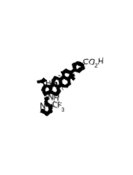 C=C(C)[C@@H]1CC[C@]2(NCc3ncccc3C(F)(F)F)CC[C@]3(C)[C@H](CCC4[C@@]5(C)CC=C(c6ccc(C(=O)O)cc6)C(C)(C)C5CC[C@]43C)C12